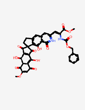 COC(=O)/C(=C/c1cc2cc3c(c(O)c2c(=O)[nH]1)C1(CC3)C(=O)C2=C(C1=O)C(O)C1C(=O)C(OC)=CC(=O)C1=C2O)NC(=O)OCc1ccccc1